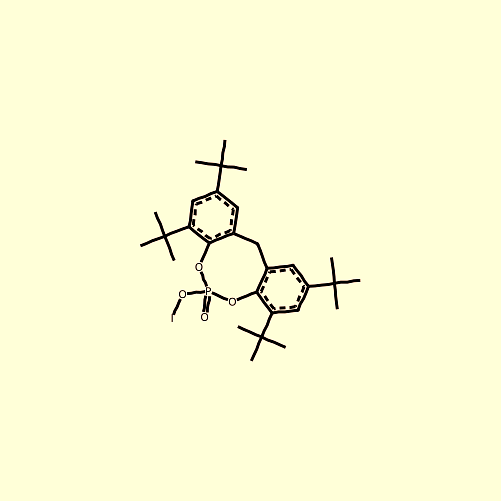 CC(C)(C)c1cc2c(c(C(C)(C)C)c1)OP(=O)(OI)Oc1c(cc(C(C)(C)C)cc1C(C)(C)C)C2